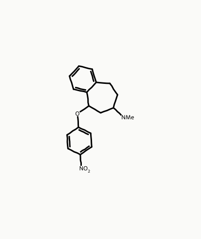 CNC1CCc2ccccc2C(Oc2ccc([N+](=O)[O-])cc2)C1